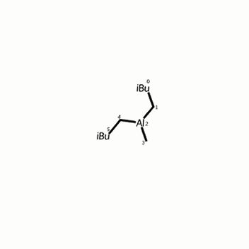 CCC(C)[CH2][Al]([CH3])[CH2]C(C)CC